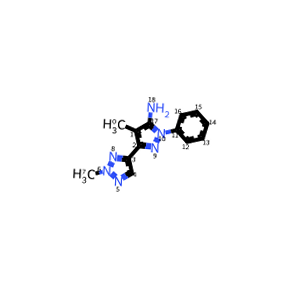 Cc1c(-c2cnn(C)n2)nn(-c2ccccc2)c1N